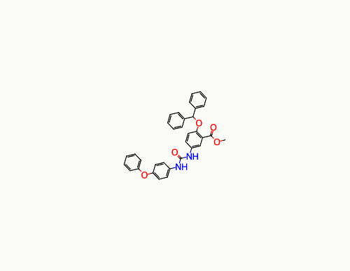 COC(=O)c1cc(NC(=O)Nc2ccc(Oc3ccccc3)cc2)ccc1OC(c1ccccc1)c1ccccc1